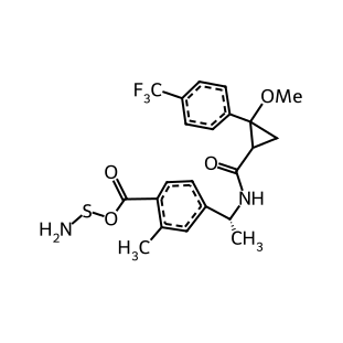 COC1(c2ccc(C(F)(F)F)cc2)CC1C(=O)N[C@H](C)c1ccc(C(=O)OSN)c(C)c1